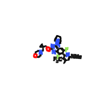 CNc1cc(C)c(C(F)(F)F)c(-c2c(F)cc3c(N4CC5CCC(C4)N5)nc(OCC4(CN5CCOCC5)CC4)nc3c2F)n1